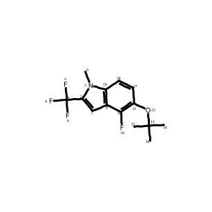 Cn1c(C(F)(F)F)cc2c(F)c(OC(C)(C)C)ccc21